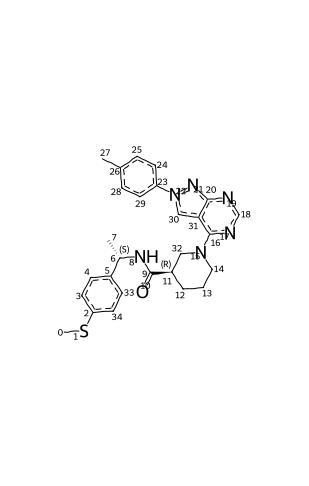 CSc1ccc([C@H](C)NC(=O)[C@@H]2CCCN(c3ncnc4nn(-c5ccc(C)cc5)cc34)C2)cc1